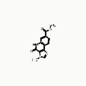 COC(=O)c1ccc2c(c1)[nH]c(=O)c1c2ncn1C